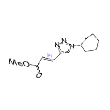 COC(=O)/C=C/c1cn(C2CCCCC2)nn1